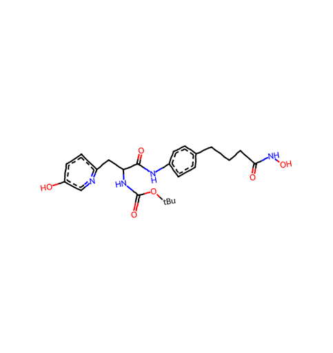 CC(C)(C)OC(=O)NC(Cc1ccc(O)cn1)C(=O)Nc1ccc(CCCC(=O)NO)cc1